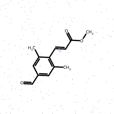 COC(=O)/C=C/c1c(C)cc(C=O)cc1C